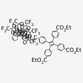 CCOC(=O)c1ccc(C2=C(c3ccc(C(=O)OCC)cc3)C(c3ccc(C(=O)OCC)cc3)=C2c2ccc(C(=O)OCC)cc2)cc1.O=C([O][Hg][Co]([Hg][O]C(=O)C(F)(F)F)([Hg][O]C(=O)C(F)(F)F)([Hg][O]C(=O)C(F)(F)F)([Hg][O]C(=O)C(F)(F)F)[C]1=CC=CC1)C(F)(F)F